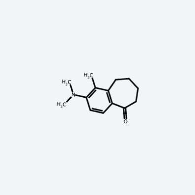 Cc1c(N(C)C)ccc2c1CCCCC2=O